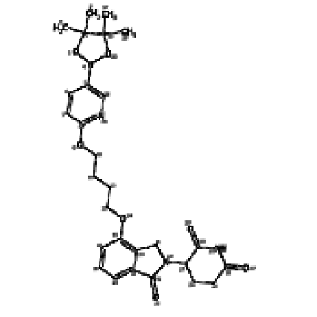 CC1(C)OB(c2ccc(OCCCCOc3cccc4c3CN(C3CCC(=O)NC3=O)C4=O)nc2)OC1(C)C